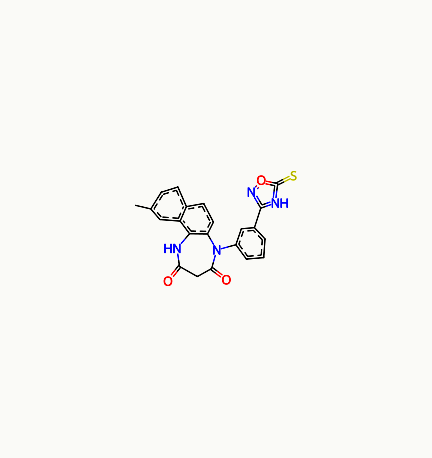 Cc1ccc2ccc3c(c2c1)NC(=O)CC(=O)N3c1cccc(-c2noc(=S)[nH]2)c1